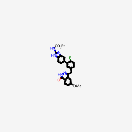 CCOC(=O)Nc1nc2cc(-c3cc(Cc4n[nH]c(=O)c5ccc(OC)cc45)ccc3F)ccc2[nH]1